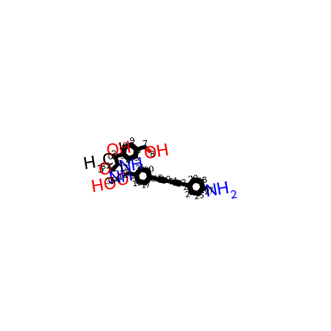 C[C@](O)(c1ccc(CO)cc1)[C@H](NC(=O)c1ccc(C#CC#Cc2ccc(N)cc2)cc1)C(=O)NO